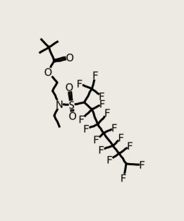 CCN(CCOC(=O)C(C)(C)C)S(=O)(=O)C(C(F)(F)F)C(F)(F)C(F)(F)C(F)(F)C(F)(F)C(F)(F)C(F)F